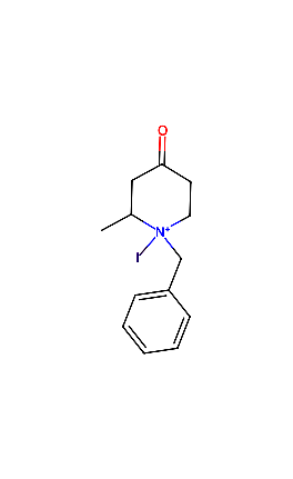 CC1CC(=O)CC[N+]1(I)Cc1ccccc1